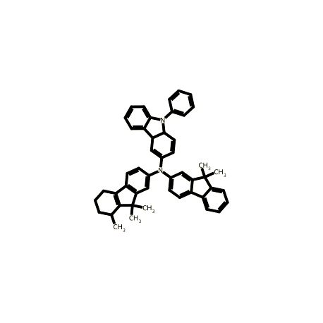 CC1CCCC2=C1C(C)(C)c1cc(N(C3=CC4c5ccccc5N(c5ccccc5)C4C=C3)c3ccc4c(c3)C(C)(C)c3ccccc3-4)ccc12